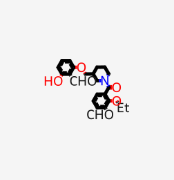 CCOc1c(C=O)cccc1C(=O)N1CCCC(COc2cccc(O)c2C=O)C1